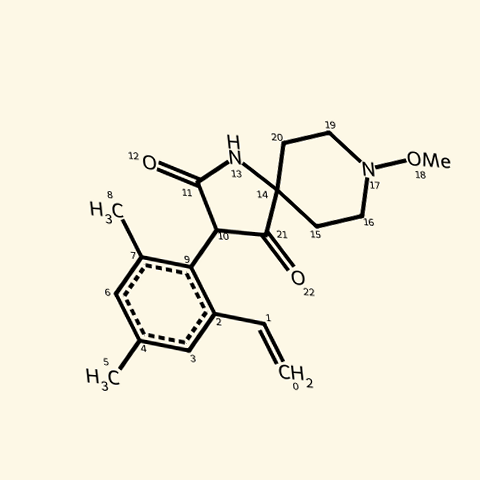 C=Cc1cc(C)cc(C)c1C1C(=O)NC2(CCN(OC)CC2)C1=O